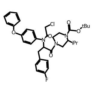 CC(C)C1CN(C(=O)C(Cc2ccc(F)cc2)N(C(=O)CCl)c2ccc(Oc3ccccc3)cc2)CCN1C(=O)OC(C)(C)C